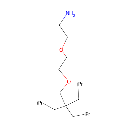 CC(C)CC(COCCOCCN)(CC(C)C)CC(C)C